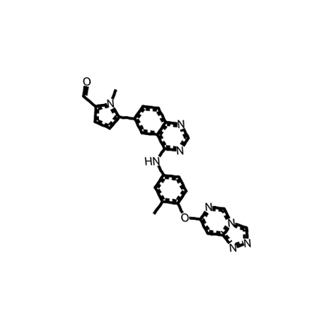 Cc1cc(Nc2ncnc3ccc(-c4ccc(C=O)n4C)cc23)ccc1Oc1cc2nncn2cn1